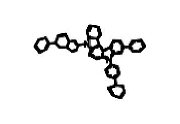 C1=CCCC(C2C=CC3C=C(N4c5ccc6c(c5C5C=CC=CC54)c4ccc(-c5ccccc5)cc4n6-c4ccc(C5C=CC=CC5)cc4)C=CC3C2)=C1